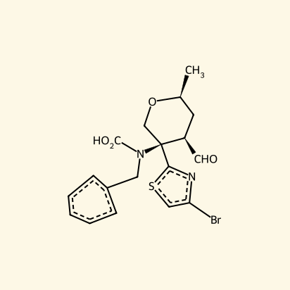 C[C@H]1C[C@@H](C=O)[C@@](c2nc(Br)cs2)(N(Cc2ccccc2)C(=O)O)CO1